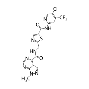 Cn1ncc2c(C(=O)NCc3ncc(C(=O)Nc4cc(C(F)(F)F)c(Cl)cn4)s3)ncnc21